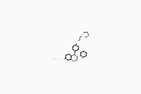 COc1ccc2c(c1)CC[C@H](c1ccccc1)C2c1ccc(OCCN2CCCC2)cc1